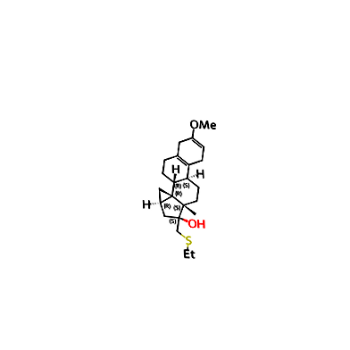 CCSC[C@]1(O)C[C@H]2C[C@]23[C@@H]2CCC4=C(CC=C(OC)C4)[C@H]2CC[C@]13C